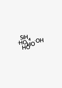 [OH].[OH].[OH].[OH].[SiH4]